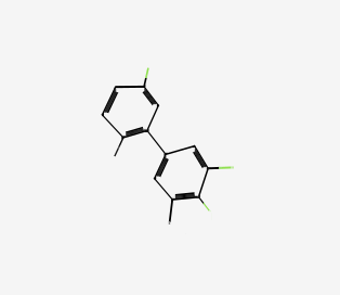 Cc1cc(-c2cc(F)ccc2C(C)C)cc(F)c1F